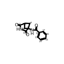 O=C(NC12CC(C1)C(=O)NC2=O)c1ccccc1